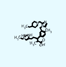 CCC1CCN(Cc2nccn2Cc2cc(C(CCC3=CN(CC)NN3)C(C)C(=O)O)ccc2C)CC1